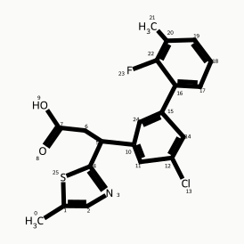 Cc1cnc(C(CC(=O)O)c2cc(Cl)cc(-c3cccc(C)c3F)c2)s1